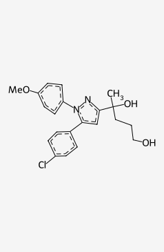 COc1ccc(-n2nc(C(C)(O)CCCO)cc2-c2ccc(Cl)cc2)cc1